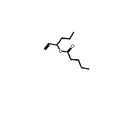 C=CC(CCC)OC(=O)CCCC